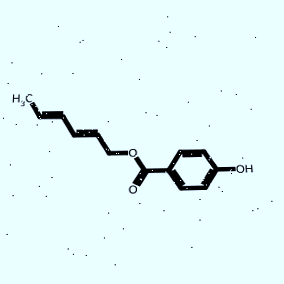 CC=CC=CCOC(=O)c1ccc(O)cc1